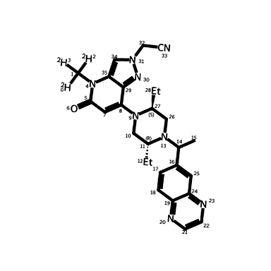 [2H]C([2H])([2H])n1c(=O)cc(N2C[C@@H](CC)N(C(C)c3ccc4nccnc4c3)C[C@@H]2CC)c2nn(CC#N)cc21